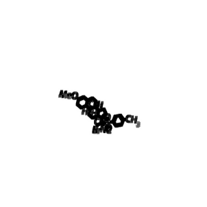 [C-]#[N+]C(CBr)(C1=CC[C@H]2[C@@H]3CC=C4C=C(OC)CC[C@]4(C)[C@H]3CC[C@]12C)S(=O)(=O)c1ccc(C)cc1